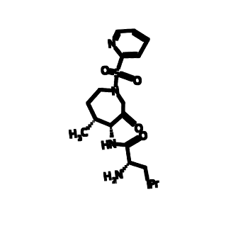 CC(C)C[C@H](N)C(=O)N[C@H]1C(=O)CN(S(=O)(=O)c2ccccn2)CC[C@H]1C